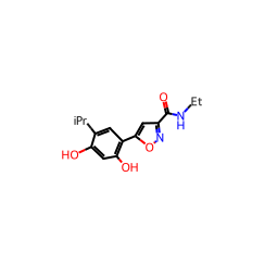 CCNC(=O)c1cc(-c2cc(C(C)C)c(O)cc2O)on1